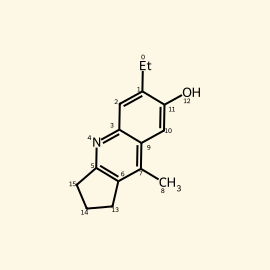 CCc1cc2nc3c(c(C)c2cc1O)CCC3